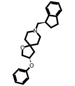 c1ccc(O[C@@H]2COC3(CCN(C[C@@H]4CCc5ccccc54)CC3)C2)cc1